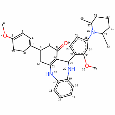 COC1=CC=C(C2CC(=O)C3=C(C2)Nc2ccccc2NC3c2ccc(N3C(C)CCCC3C)cc2OC)CC1